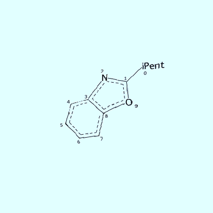 CCCC(C)c1nc2ccccc2o1